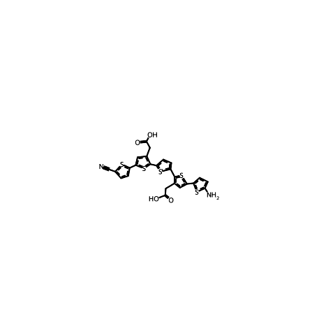 N#Cc1ccc(-c2cc(CC(=O)O)c(-c3ccc(-c4sc(-c5ccc(N)s5)cc4CC(=O)O)s3)s2)s1